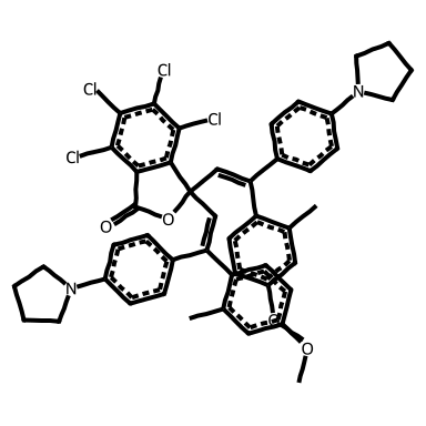 COc1ccc(C(=CC2(C=C(c3ccc(N4CCCC4)cc3)c3ccc(OC)cc3C)OC(=O)c3c(Cl)c(Cl)c(Cl)c(Cl)c32)c2ccc(N3CCCC3)cc2)c(C)c1